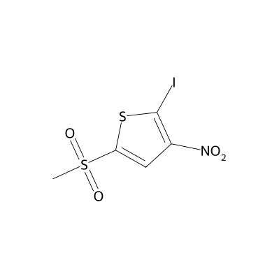 CS(=O)(=O)c1cc([N+](=O)[O-])c(I)s1